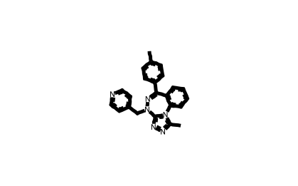 Cc1ccc(C2=NN(Cc3ccncc3)c3nnc(C)n3-c3ccccc32)cc1